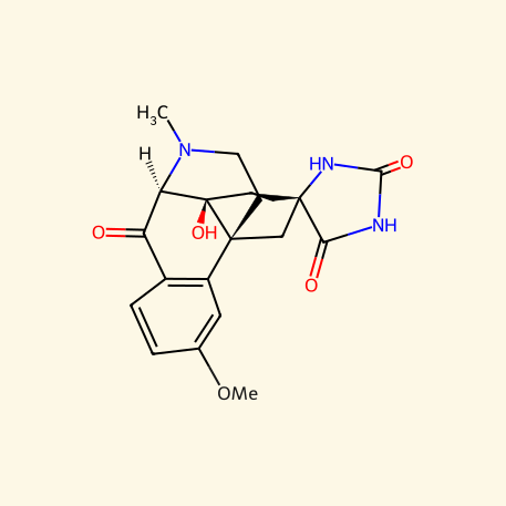 COc1ccc2c(c1)[C@]13CCN(C)[C@H](C2=O)[C@]1(O)CC[C@@]1(C3)NC(=O)NC1=O